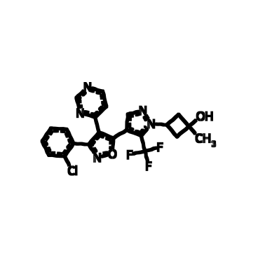 CC1(O)CC(n2ncc(-c3onc(-c4ccccc4Cl)c3-c3ccncn3)c2C(F)(F)F)C1